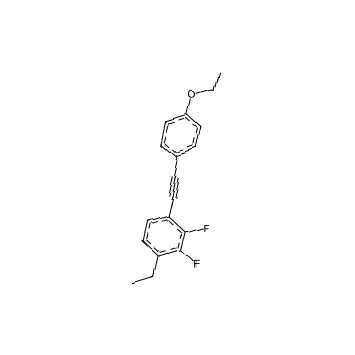 CCOc1ccc(C#Cc2ccc(CC)c(F)c2F)cc1